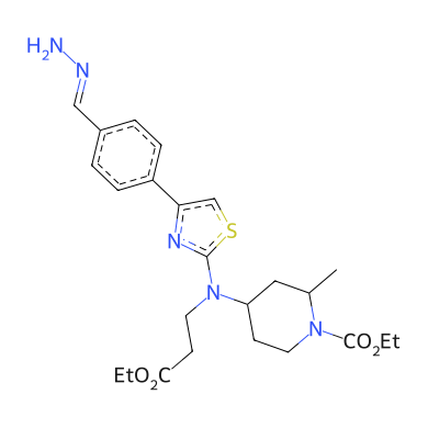 CCOC(=O)CCN(c1nc(-c2ccc(C=NN)cc2)cs1)C1CCN(C(=O)OCC)C(C)C1